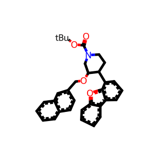 CC(C)(C)OC(=O)N1CCC(c2cccc3c2oc2ccccc23)C(OCc2ccc3ccccc3c2)C1